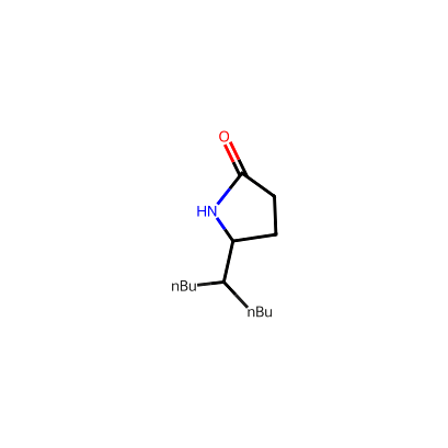 CCCCC(CCCC)C1CCC(=O)N1